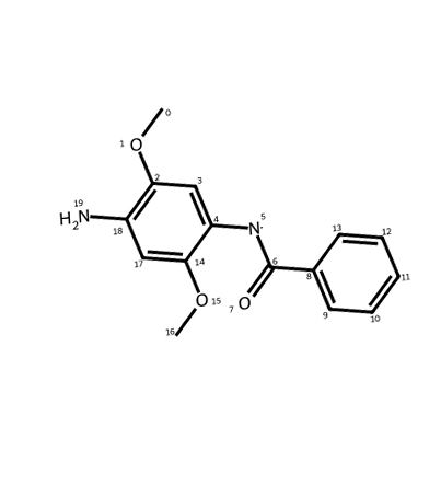 COc1cc([N]C(=O)c2ccccc2)c(OC)cc1N